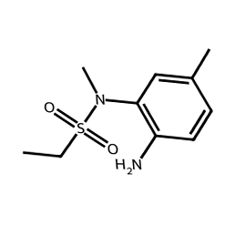 CCS(=O)(=O)N(C)c1cc(C)ccc1N